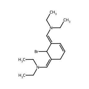 CCN(C=C1C=CCC(=CN(CC)CC)C1Br)CC